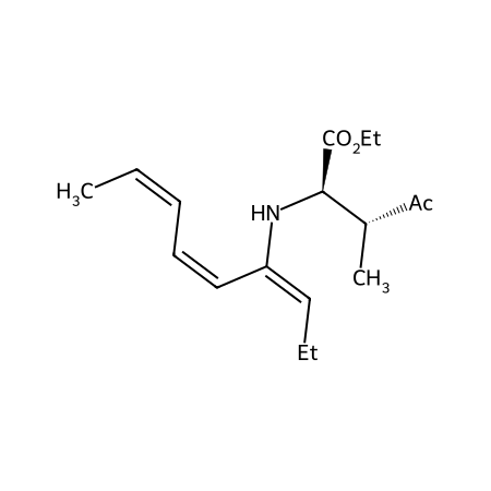 C\C=C/C=C\C(=C/CC)N[C@@H](C(=O)OCC)[C@@H](C)C(C)=O